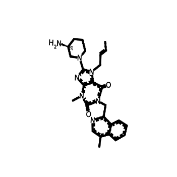 CC=CCn1c(N2CCC[C@H](N)C2)nc2c1c(=O)n(Cc1ncc(C)c3ccccc13)c(=O)n2C